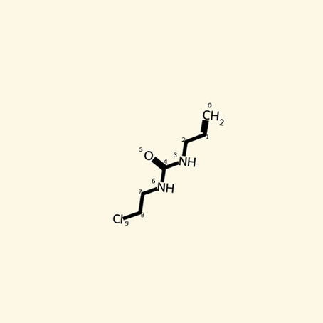 C=CCNC(=O)NCCCl